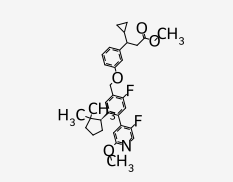 COC(=O)CC(c1cccc(OCc2cc([C@H]3CCCC3(C)C)c(-c3cc(OC)ncc3F)cc2F)c1)C1CC1